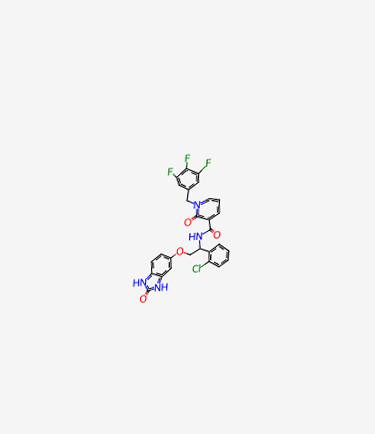 O=C(NC(COc1ccc2[nH]c(=O)[nH]c2c1)c1ccccc1Cl)c1cccn(Cc2cc(F)c(F)c(F)c2)c1=O